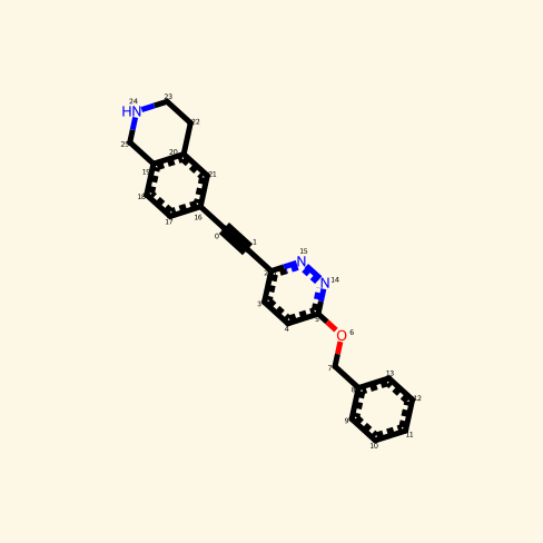 C(#Cc1ccc(OCc2ccccc2)nn1)c1ccc2c(c1)CCNC2